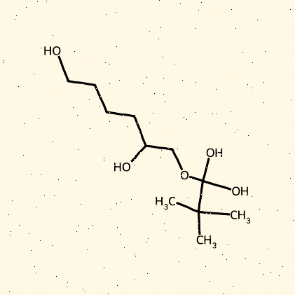 CC(C)(C)C(O)(O)OCC(O)CCCCO